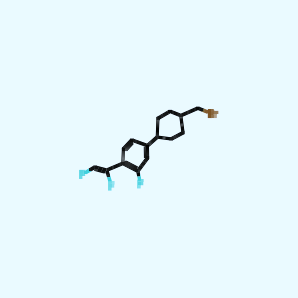 FC=C(F)c1ccc(C2CCC(CBr)CC2)cc1F